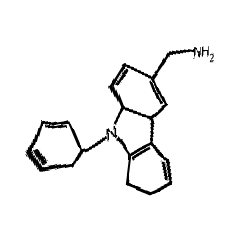 NCC1=CC2C3=C(CCC=C3)N(C3C=CC=CC3)C2C=C1